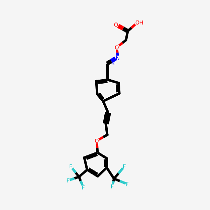 O=C(O)CO/N=C/c1ccc(C#CCOc2cc(C(F)(F)F)cc(C(F)(F)F)c2)cc1